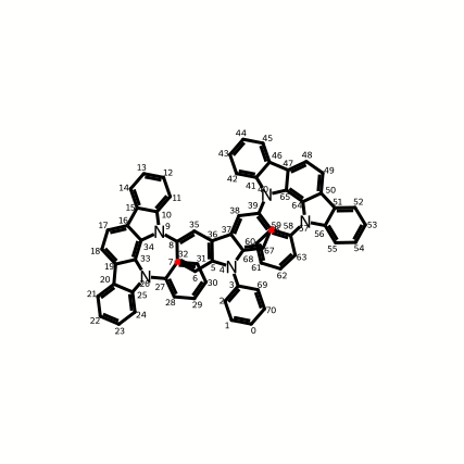 c1ccc(-n2c3ccc(-n4c5ccccc5c5ccc6c7ccccc7n(-c7ccccc7)c6c54)cc3c3cc(-n4c5ccccc5c5ccc6c7ccccc7n(-c7ccccc7)c6c54)ccc32)cc1